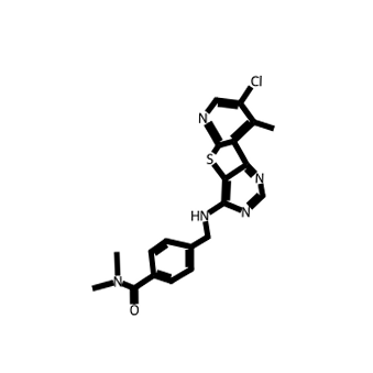 Cc1c(Cl)cnc2sc3c(NCc4ccc(C(=O)N(C)C)cc4)ncnc3c12